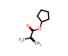 C=C(C(=O)OC1CCCC1)C(F)(F)F